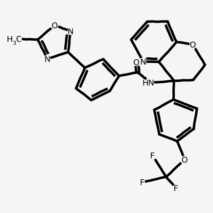 Cc1nc(-c2cccc(C(=O)NC3(c4ccc(OC(F)(F)F)cc4)CCOc4cccnc43)c2)no1